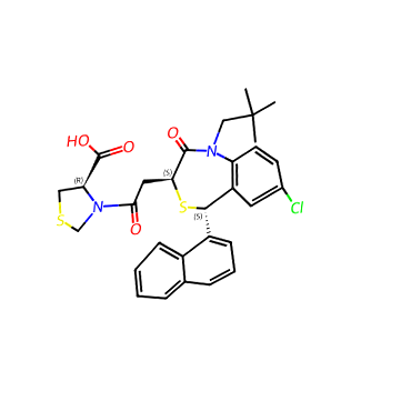 CC(C)(C)CN1C(=O)[C@H](CC(=O)N2CSC[C@H]2C(=O)O)S[C@@H](c2cccc3ccccc23)c2cc(Cl)ccc21